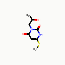 CSc1cc(=O)n(CC(C)O)c(=O)[nH]1